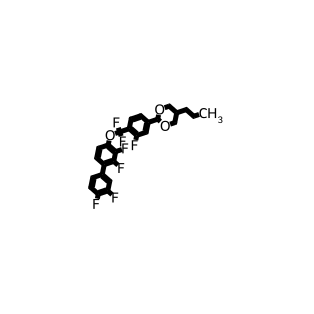 CCCC1COC(c2ccc(C(F)(F)Oc3ccc(-c4ccc(F)c(F)c4)c(F)c3F)c(F)c2)OC1